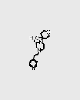 CC1(N2CCN(CCc3ccncc3)CC2)CCOCC1